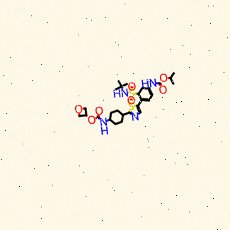 CC(C)OC(=O)NC1=CC=C(c2cnc(C3CCC(NC(=O)OC4COC4)CC3)s2)C(S(=O)(=O)NC(C)(C)C)C1